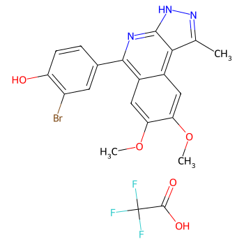 COc1cc2c(-c3ccc(O)c(Br)c3)nc3[nH]nc(C)c3c2cc1OC.O=C(O)C(F)(F)F